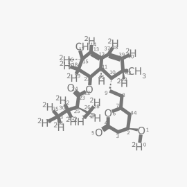 [2H]O[C@H]1CC(=O)OC(CC[C@@H]2[C@@H]3C(=C([2H])[C@]([2H])(C)C([2H])([2H])C3OC(=O)[C@@H](C([2H])([2H])[2H])C([2H])([2H])C([2H])([2H])[2H])C([2H])=C([2H])[C@]2([2H])C)C1